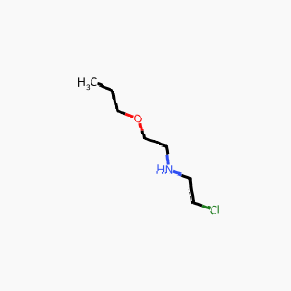 CCCOCCNCCCl